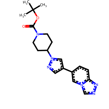 CC(C)(C)OC(=O)N1CCC(n2cc(-c3ccc4nncn4c3)cn2)CC1